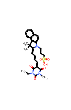 CCN1C(=O)C(=CC=CC=C2N(CCCS(=O)(=O)O)c3ccc4ccccc4c3C2(C)C)C(=O)N(C)C1=O